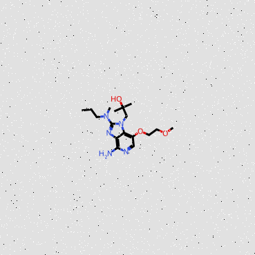 CCCN(C)c1nc2c(N)ncc(OCCOC)c2n1CC(C)(C)O